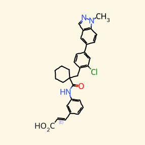 Cn1ncc2cc(-c3ccc(CC4(C(=O)Nc5cccc(/C=C/C(=O)O)c5)CCCCC4)c(Cl)c3)ccc21